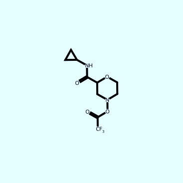 O=C(NC1CC1)C1CN(OC(=O)C(F)(F)F)CCO1